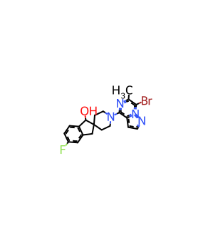 Cc1nc(N2CCC3(CC2)Cc2cc(F)ccc2C3O)c2ccnn2c1Br